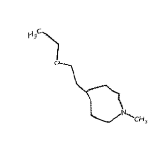 CCOCCC1CCN(C)CC1